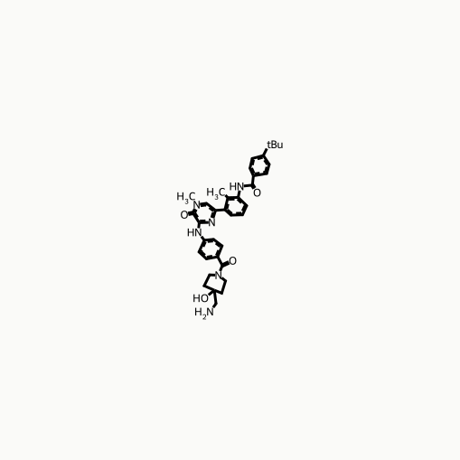 Cc1c(NC(=O)c2ccc(C(C)(C)C)cc2)cccc1-c1cn(C)c(=O)c(Nc2ccc(C(=O)N3CCC(O)(CN)CC3)cc2)n1